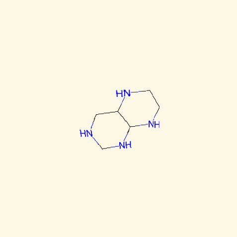 C1CNC2NCNCC2N1